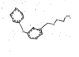 CCCOCc1cccc(Oc2ccccc2)c1